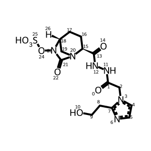 O=C(Cn1ccnc1CCO)NNC(=O)[C@@H]1CC[C@@H]2CN1C(=O)N2OS(=O)(=O)O